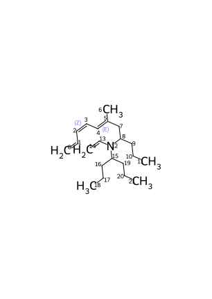 C=C/C=C\C=C(/C)CC(CCC)N(C=C)C(CCC)CCC